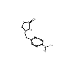 O=C1CCN(Cc2ccc(C(F)F)cc2)C1